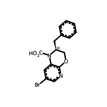 O=C(O)N1c2cc(Br)cnc2OC[C@@H]1Cc1ccccc1